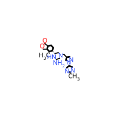 Cc1ncc(-n2cc(CN3C[C@@H](c4ccc5c(c4C)COC5=O)N[C@@H](N)C3)cn2)cn1